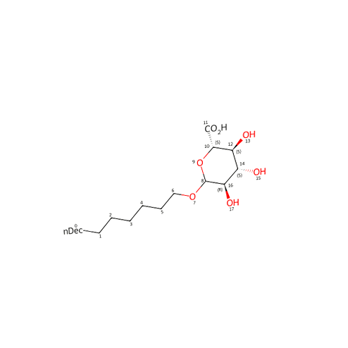 CCCCCCCCCCCCCCCCOC1O[C@H](C(=O)O)[C@@H](O)[C@H](O)[C@H]1O